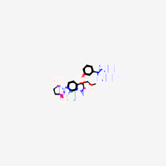 CCCC(Oc1cccc(C(=N)N)c1)(C(N)=O)c1ccc(N2C(=O)CCC2=O)c(Cl)c1